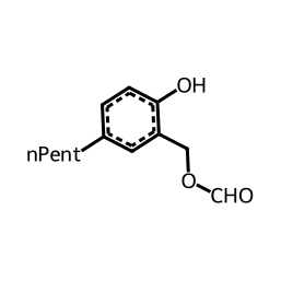 CCCCCc1ccc(O)c(COC=O)c1